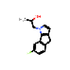 CC(O)Cn1ccc2c1-c1cc(F)ccc1C2